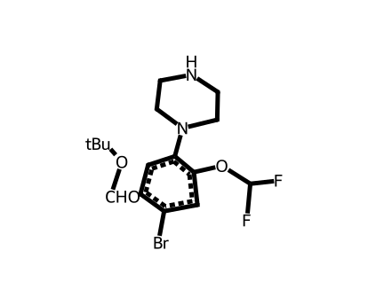 CC(C)(C)OC=O.FC(F)Oc1cc(Br)ccc1N1CCNCC1